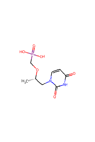 C[C@@H](Cn1ccc(=O)[nH]c1=O)OCP(=O)(O)O